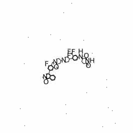 COc1cc(-c2cn(C)c(=O)c3ccccc23)cc(F)c1CN1CCC(N2CCC(c3ccc(NC4CCC(=O)NC4=O)cc3C(F)(F)F)CC2)CC1